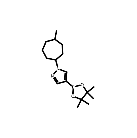 CC1CCCC(n2cc(B3OC(C)(C)C(C)(C)O3)cn2)CC1